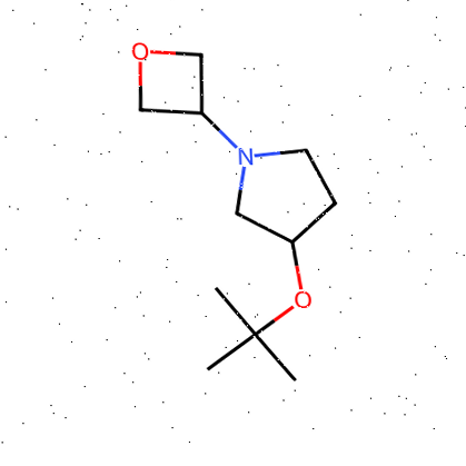 CC(C)(C)OC1CCN(C2COC2)C1